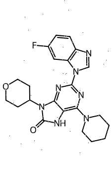 O=c1[nH]c2c(N3CCCCC3)nc(-n3cnc4ccc(F)cc43)nc2n1C1CCOCC1